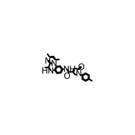 Cc1ccc(N2CC(C(=O)Nc3ccc(NC(C)c4nc(C)cc(C)n4)cc3)CC2=O)cc1